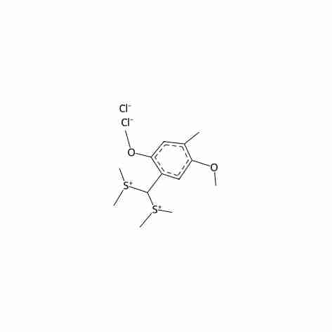 COc1cc(C([S+](C)C)[S+](C)C)c(OC)cc1C.[Cl-].[Cl-]